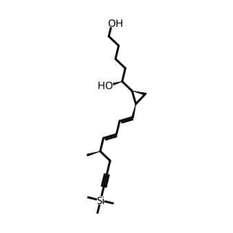 C[C@@H](/C=C/C=C/[C@@H]1C[C@@H]1[C@@H](O)CCCCO)CC#C[Si](C)(C)C